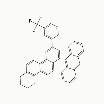 FC(F)(F)c1cccc(-c2ccc3ccc4c5c(ccc4c3c2)CCCC5)c1.c1ccc2cc3ccccc3cc2c1